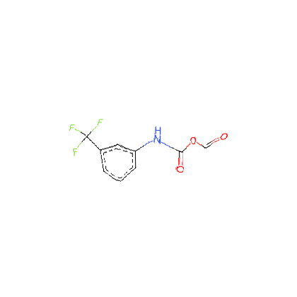 O=COC(=O)Nc1cccc(C(F)(F)F)c1